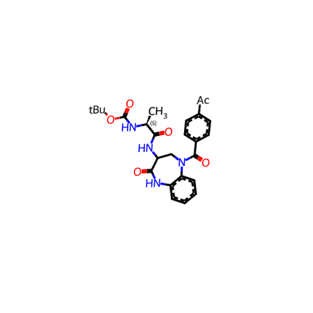 CC(=O)c1ccc(C(=O)N2CC(NC(=O)[C@H](C)NC(=O)OC(C)(C)C)C(=O)Nc3ccccc32)cc1